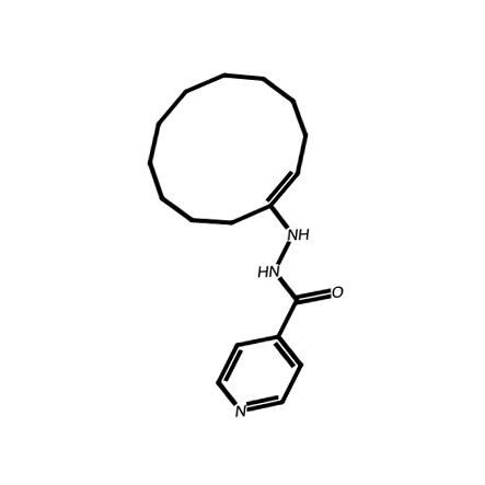 O=C(NNC1=CCCCCCCCCCC1)c1ccncc1